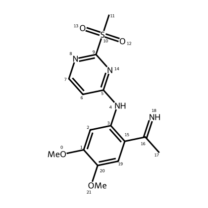 COc1cc(Nc2ccnc(S(C)(=O)=O)n2)c(C(C)=N)cc1OC